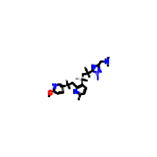 COc1ccc(C(C)(C)Cc2nc(C)ccc2C(C)(C)CC(C)(C)c2nc(CN(C)C)n[nH]2)cn1